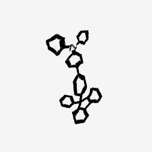 c1ccc(N(c2ccccc2)c2ccc(-c3ccc(C4(c5ccccc5)c5ccccc5-c5ccccc54)cc3)cc2)cc1